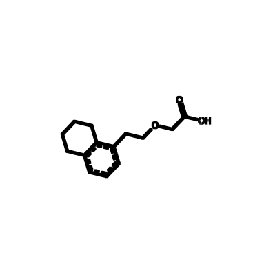 O=C(O)COCCc1cccc2c1CCCC2